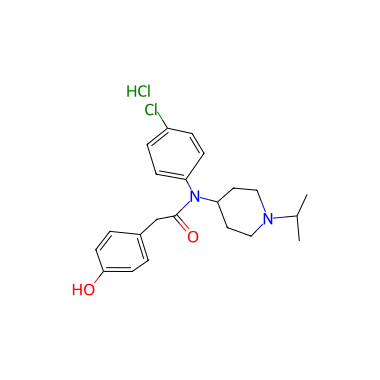 CC(C)N1CCC(N(C(=O)Cc2ccc(O)cc2)c2ccc(Cl)cc2)CC1.Cl